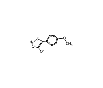 COc1ccc(C2=C([O-])O[N+]S2)cc1